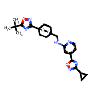 CC(C)(C)c1nc(C23CCC(CNc4cc(-c5nc(C6CC6)no5)ccn4)(CC2)CC3)no1